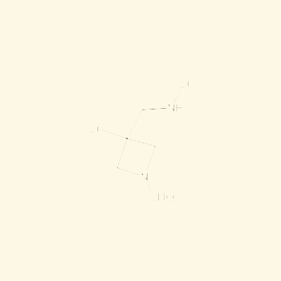 CCNCC1(CC)CN(C=O)C1